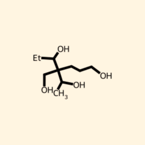 CCC(O)C(CO)(CCCO)C(C)O